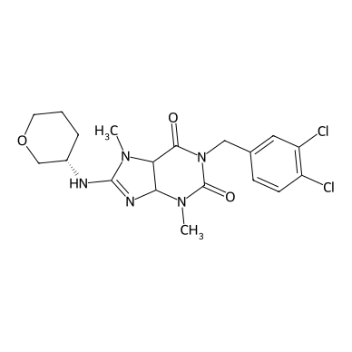 CN1C(=O)N(Cc2ccc(Cl)c(Cl)c2)C(=O)C2C1N=C(N[C@H]1CCCOC1)N2C